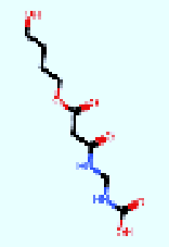 O=C(O)NCNC(=O)CC(=O)OCCCCO